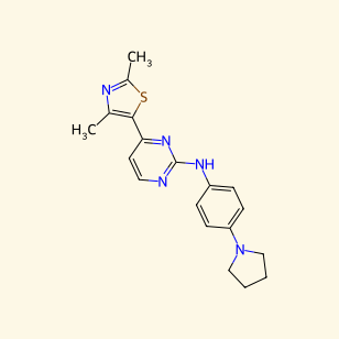 Cc1nc(C)c(-c2ccnc(Nc3ccc(N4CCCC4)cc3)n2)s1